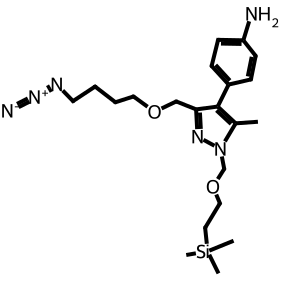 Cc1c(-c2ccc(N)cc2)c(COCCCCN=[N+]=[N-])nn1COCC[Si](C)(C)C